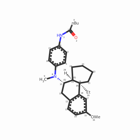 CCCCC(=O)Nc1ccc(N(C)[C@H]2Cc3ccc(OC)cc3[C@]3(CC)CCCC[C@H]23)cc1